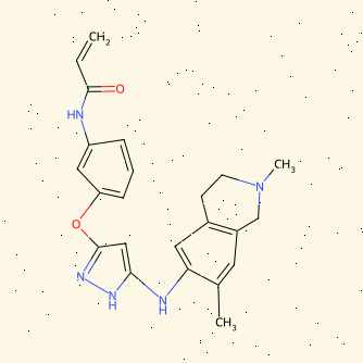 C=CC(=O)Nc1cccc(Oc2cc(Nc3cc4c(cc3C)CN(C)CC4)[nH]n2)c1